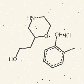 Cc1ccccc1O.Cl.OCCC1CNCCO1